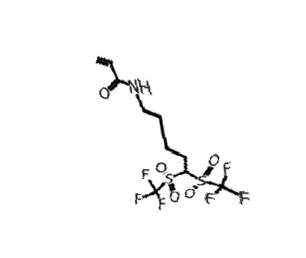 C=CC(=O)NCCCCC(S(=O)(=O)C(F)(F)F)S(=O)(=O)C(F)(F)F